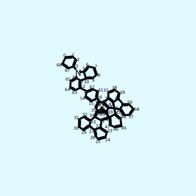 c1ccc(-n2c3ccccc3c3c(-c4ccc(N(c5ccc6c7ccccc7c7ccccc7c6c5)c5cccc6c5C5(c7ccccc7-c7ccccc75)c5ccccc5-6)cc4)cccc32)cc1